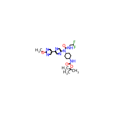 COc1ncc(-c2cnc(N(C(=O)NCC(F)F)[C@H]3CC[C@H](NC(=O)OC(C)(C)C)CC3)cn2)cn1